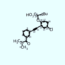 CN(C)C(=O)c1cccc(C#Cc2cc(Cl)ccc2OC(C(=O)O)C(C)(C)C)c1